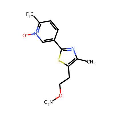 Cc1nc(-c2ccc(C(F)(F)F)[n+]([O-])c2)sc1CCO[N+](=O)[O-]